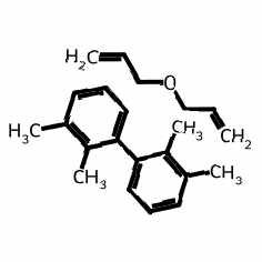 C=CCOCC=C.Cc1cccc(-c2cccc(C)c2C)c1C